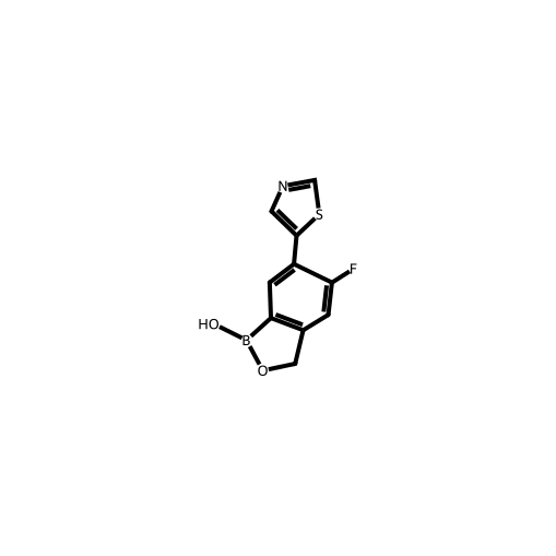 OB1OCc2cc(F)c(-c3cncs3)cc21